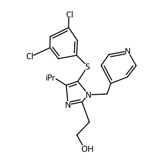 CC(C)c1nc(CCO)n(Cc2ccncc2)c1Sc1cc(Cl)cc(Cl)c1